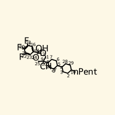 CCCCCC1CCC(C2CCC(C3(C)COC(O)(c4cc(F)c(F)c(F)c4)OC3)CC2)CC1